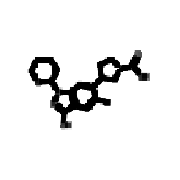 Cc1cc2c(O)nn(C3CCCCO3)c2cc1C1CCN(C(=O)O)C1